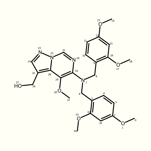 COc1ccc(CN(Cc2ccc(OC)cc2OC)c2ncn3ncc(CO)c3c2OC)c(OC)c1